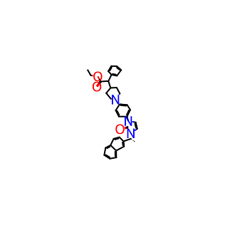 CCOC(=O)C(c1ccccc1)C1CCN(c2ccc(-n3ccn([C@H](C)c4ccc5ccccc5c4)c3=O)cc2)CC1